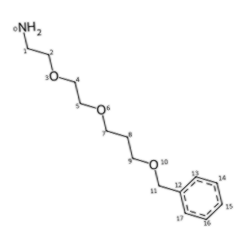 NCCOCCOCCCOCc1ccccc1